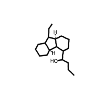 CCCC(O)C1CCC[C@@H]2C(CC)C3CCCC[C@@H]3C12